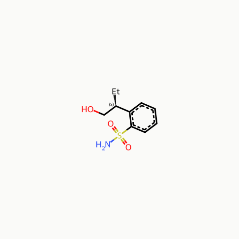 CC[C@H](CO)c1ccccc1S(N)(=O)=O